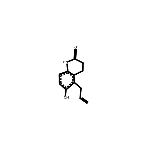 C=CCc1c(O)ccc2c1CCC(=O)N2